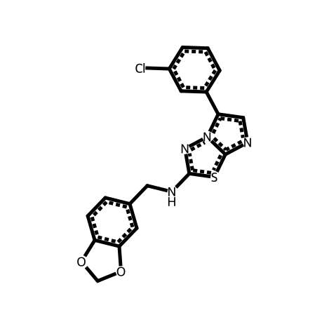 Clc1cccc(-c2cnc3sc(NCc4ccc5c(c4)OCO5)nn23)c1